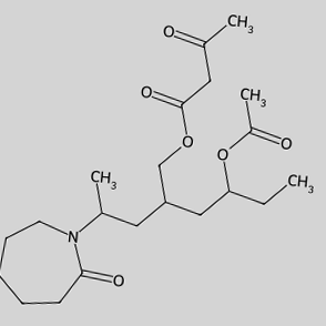 CCC(CC(COC(=O)CC(C)=O)CC(C)N1CCCCCC1=O)OC(C)=O